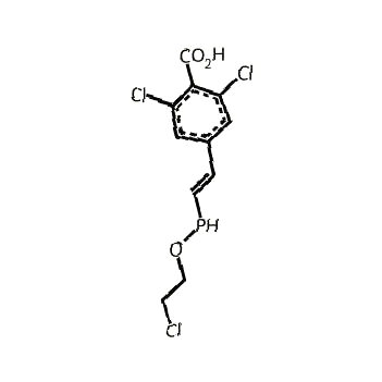 O=C(O)c1c(Cl)cc(/C=C/POCCCl)cc1Cl